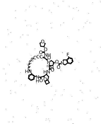 O=C(N[C@H]1CCCCCCCNc2ccccc2NC(=O)C(=O)C(CC2CCC2)NC(=O)[C@@H]2C[C@@H](OC(=O)N3Cc4cccc(F)c4C3)CN2C1=O)OC1CCOC1